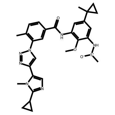 COc1c(NC(=O)c2ccc(C)c(-n3cc(-c4cnc(C5CC5)n4C)nn3)c2)cc(C2(C)CC2)cc1N[S+](C)[O-]